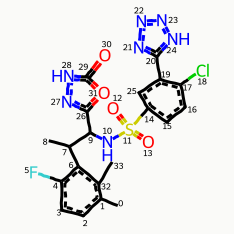 Cc1ccc(F)c(C(C)C(NS(=O)(=O)c2ccc(Cl)c(-c3nnn[nH]3)c2)c2n[nH]c(=O)o2)c1C